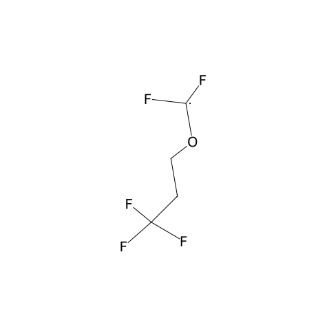 F[C](F)OCCC(F)(F)F